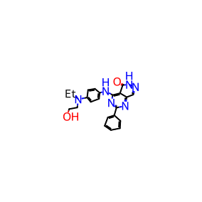 CCN(CCO)c1ccc(Nc2nc(-c3ccccc3)nc3cn[nH]c(=O)c23)cc1